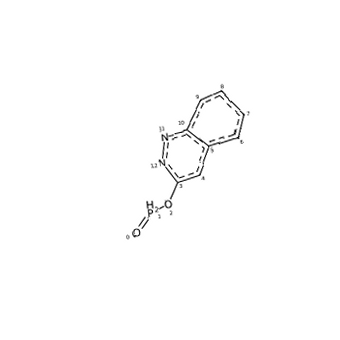 O=[PH2]Oc1cc2ccccc2nn1